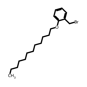 CCCCCCCCCCCCOc1ccccc1CBr